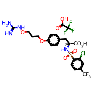 N=C(N)NOCCCOc1ccc(C[C@H](NS(=O)(=O)c2ccc(C(F)(F)F)cc2Cl)C(=O)O)cc1.O=C(O)C(F)(F)F